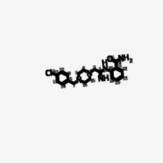 N=C(CN1CCN(Cc2ccc(Cl)cc2)CC1)Nc1ccccc1C(N)=O